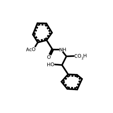 CC(=O)Oc1ccccc1C(=O)NC(C(=O)O)C(O)c1ccccc1